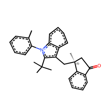 Cc1ccccc1-n1c(C(C)(C)C)c(C[C@@]2(C)CC(=O)c3ccccc32)c2ccccc21